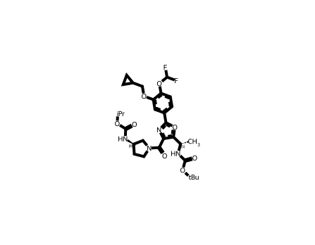 CC(C)OC(=O)N[C@@H]1CCN(C(=O)c2nc(-c3ccc(OC(F)F)c(OCC4CC4)c3)oc2[C@H](C)NC(=O)OC(C)(C)C)C1